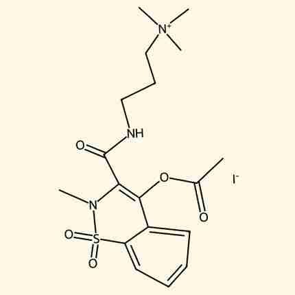 CC(=O)OC1=C(C(=O)NCCC[N+](C)(C)C)N(C)S(=O)(=O)c2ccccc21.[I-]